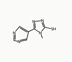 Cn1c(S)nnc1-c1cncnc1